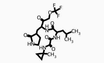 CC(C)CC(NC(=O)C(=O)NC1(C)CC1)C(=O)NC(CC1CCNC1=O)C(=O)COC(F)(F)F